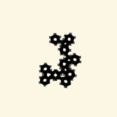 c1ccc(-c2nc3c4ccccc4c4ccccc4c3nc2-n2c3ccccc3c3c4c5ccccc5n(-c5ccc6c(c5)c5ccccc5n6-c5ccccc5)c4ccc32)cc1